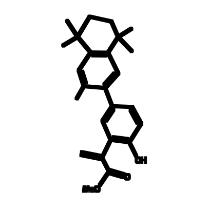 C=C(C(=O)OC)c1cc(-c2cc3c(cc2C)C(C)(C)CCC3(C)C)ccc1O